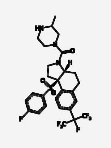 CC1CN(C(=O)N2CC[C@@]3(S(=O)(=O)c4ccc(F)cc4)c4ccc(C(F)(C(F)(F)F)C(F)(F)F)cc4CC[C@@H]23)CCN1